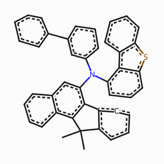 CC1(C)c2ccccc2-c2c(N(c3cccc(-c4ccccc4)c3)c3cccc4sc5ccccc5c34)cc3ccccc3c21